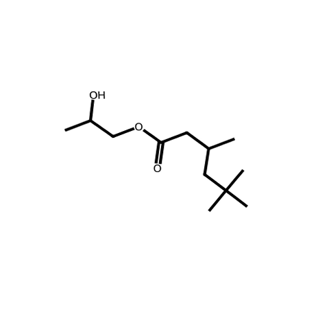 CC(O)COC(=O)CC(C)CC(C)(C)C